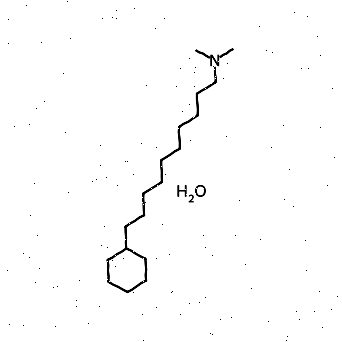 CN(C)CCCCCCCCCCC1CCCCC1.O